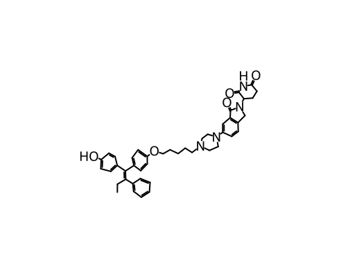 CCC(=C(c1ccc(O)cc1)c1ccc(OCCCCCN2CCN(c3ccc4c(c3)C(=O)N(C3CCC(=O)NC3=O)C4)CC2)cc1)c1ccccc1